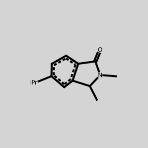 CC(C)c1ccc2c(c1)C(C)N(C)C2=O